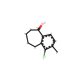 Cc1ccc2c(c1Cl)CCCCC2=O